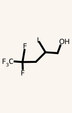 OCC(I)CC(F)(F)C(F)(F)F